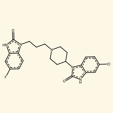 O=c1[nH]c2cc(F)ccc2n1CCCN1CCC(n2c(=O)[nH]c3cc(Cl)ccc32)CC1